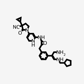 N#CC1(C2CC2)CCN(C2=CCNC(NC3OC3Cc3cccc(/C(=C/NCC4CCCC4)CN)c3)=C2)C1=O